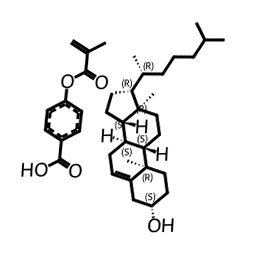 C=C(C)C(=O)Oc1ccc(C(=O)O)cc1.CC(C)CCC[C@@H](C)[C@H]1CC[C@H]2[C@@H]3CC=C4C[C@@H](O)CC[C@]4(C)[C@H]3CC[C@]12C